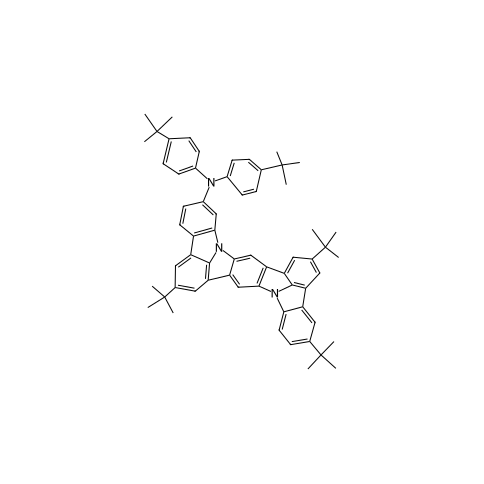 CC(C)(C)c1ccc(N(c2ccc(C(C)(C)C)cc2)c2ccc3c4cc(C(C)(C)C)cc5c6cc7c(cc6n(c3c2)c45)c2cc(C(C)(C)C)cc3c4cc(C(C)(C)C)ccc4n7c32)cc1